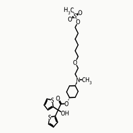 CN(CCOCCCCCCOS(C)(=O)=O)[C@H]1CC[C@H](OC(=O)C(O)(c2cccs2)c2cccs2)CC1